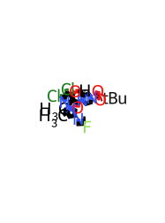 CC(C)(C)OC(=O)N1CCN2C(=O)c3c(N4C[C@H](N5CC(F)C5)CC4(C)C)nc(Cl)c(Cl)c3OC[C@H]2C1